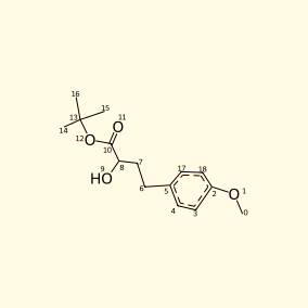 COc1ccc(CCC(O)C(=O)OC(C)(C)C)cc1